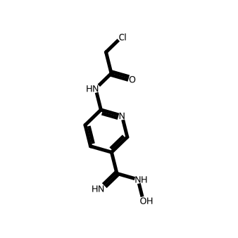 N=C(NO)c1ccc(NC(=O)CCl)nc1